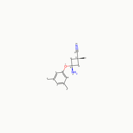 Cc1cc(C)cc(O[C@]2(N)C[C@](C)(C#N)C2)c1